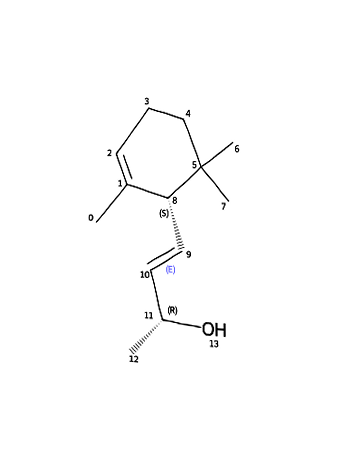 CC1=CCCC(C)(C)[C@@H]1/C=C/[C@@H](C)O